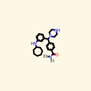 CCN(CC)C(=O)c1ccc(C(c2cccc(NC3CCCCCC3)c2)N2CCNCC2)cc1